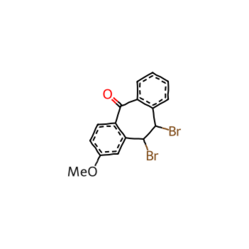 COc1ccc2c(c1)C(Br)C(Br)c1ccccc1C2=O